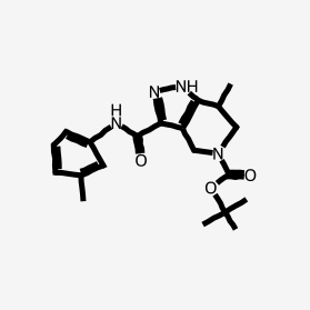 Cc1cccc(NC(=O)c2n[nH]c3c2CN(C(=O)OC(C)(C)C)CC3C)c1